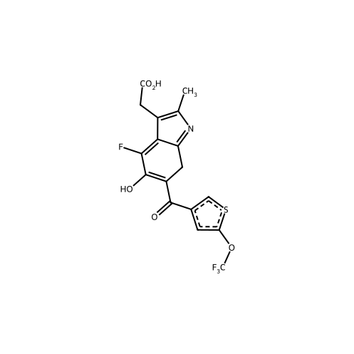 CC1=C(CC(=O)O)C2=C(F)C(O)=C(C(=O)c3csc(OC(F)(F)F)c3)CC2=N1